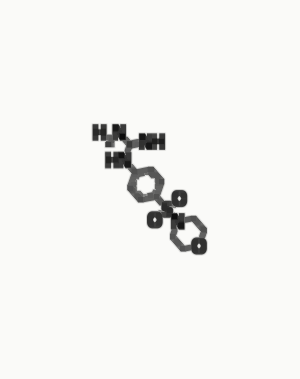 N=C(N)Nc1ccc(S(=O)(=O)N2CCOCC2)cc1